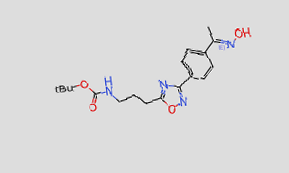 C/C(=N\O)c1ccc(-c2noc(CCCNC(=O)OC(C)(C)C)n2)cc1